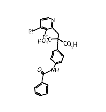 CCc1ccnc(CC(C(=O)O)(C(=O)O)c2ccc(NC(=O)c3ccccc3)cc2)c1CC